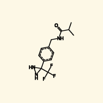 CC(C)C(=O)NCc1ccc(C2(C(F)(F)F)NN2)cc1